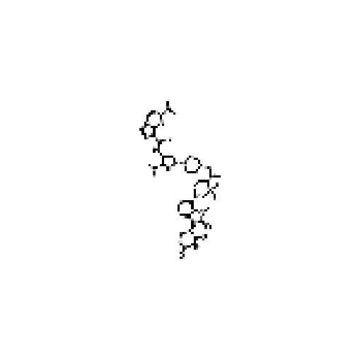 CN(C)c1ccn2ncc(C(=O)Nc3cn([C@H]4CC[C@H](CN(C)C5CCN(c6cccc7c6n(C)c(=O)n7C6CCC(=O)NC6=O)CC5(F)F)CC4)nc3C(F)F)c2n1